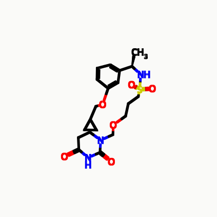 C[C@@H](NS(=O)(=O)CCCOCN1CCC(=O)NC1=O)c1cccc(OCC2CC2)c1